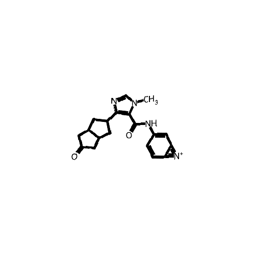 Cn1cnc(C2CC3CC(=O)CC3C2)c1C(=O)Nc1ccc2c(c1)=[N+]=2